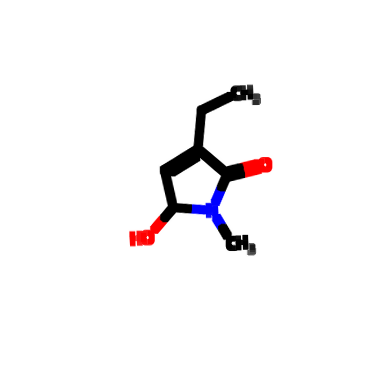 CCC1=CC(O)N(C)C1=O